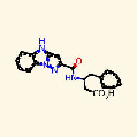 O=C(O)C[C@H](Cc1ccccc1)NC(=O)c1cc2[nH]c3ccccc3n2n1